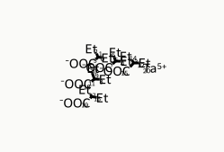 CCC(CC)C(=O)[O-].CCC(CC)C(=O)[O-].CCC(CC)C(=O)[O-].CCC(CC)C(=O)[O-].CCC(CC)C(=O)[O-].[Ta+5]